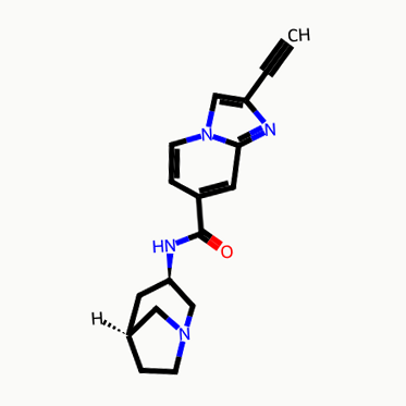 C#Cc1cn2ccc(C(=O)N[C@@H]3C[C@@H]4CCN(C4)C3)cc2n1